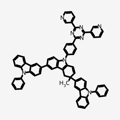 CC1(c2ccc3c(c2)c2ccccc2n3-c2ccccc2)C=Cc2c(c3cc(-c4ccc5c(c4)c4ccccc4n5-c4ccccc4)ccc3n2-c2ccc(-c3nc(-c4cccnc4)nc(-c4cccnc4)n3)cc2)C1